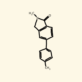 Cc1ccc(-c2ccc3c(c2)CN(C)C3=O)cc1